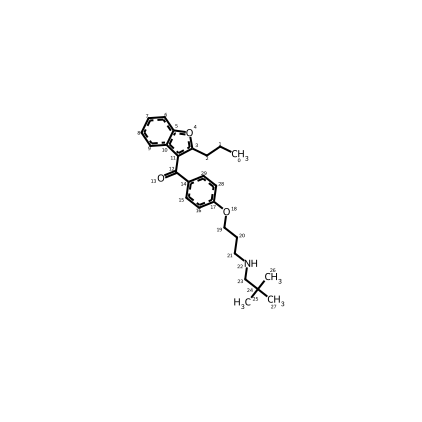 CCCc1oc2ccccc2c1C(=O)c1ccc(OCCCNCC(C)(C)C)cc1